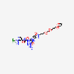 NC(=O)c1nn(-c2ccc(C(=O)NCCCCCOCCOCCCCOC3CCCCO3)cc2)cc1NC(=O)c1coc(-c2ccnc(NCC(F)(F)F)c2)n1